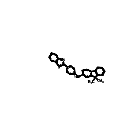 CC1(C)c2ccccc2-c2ccc(Nc3ccc(-c4nc5ccccc5s4)cc3)cc21